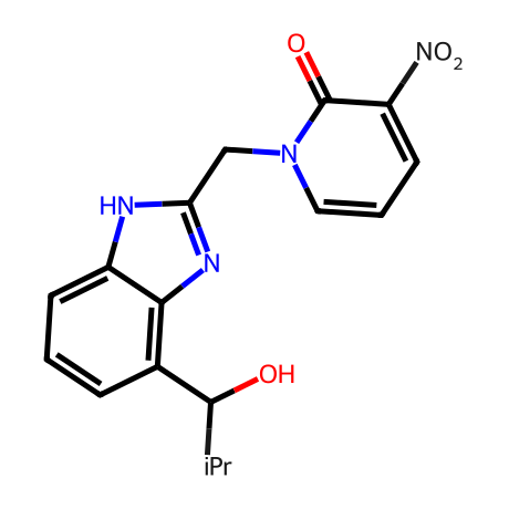 CC(C)C(O)c1cccc2[nH]c(Cn3cccc([N+](=O)[O-])c3=O)nc12